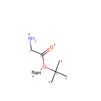 CC(C)(C)OC(=O)CN.[NaH]